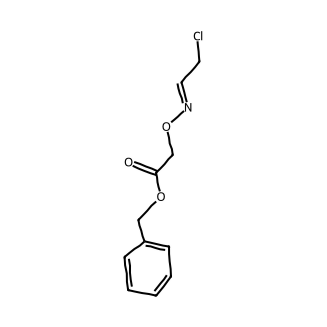 O=C(CON=CCCl)OCc1ccccc1